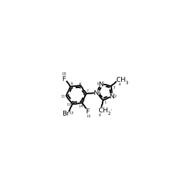 [CH2]c1nc(C)nn1-c1cc(F)cc(Br)c1F